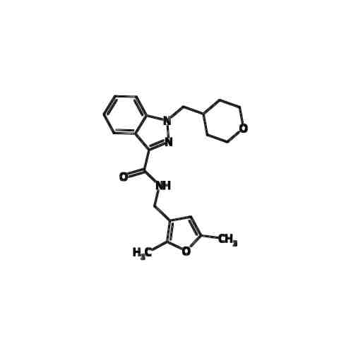 Cc1cc(CNC(=O)c2nn(CC3CCOCC3)c3ccccc23)c(C)o1